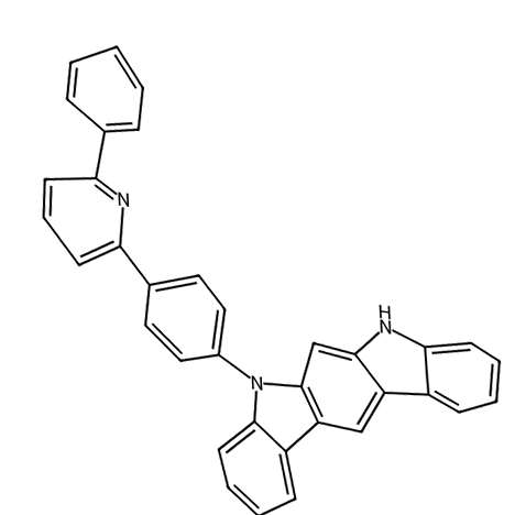 c1ccc(-c2cccc(-c3ccc(-n4c5ccccc5c5cc6c(cc54)[nH]c4ccccc46)cc3)n2)cc1